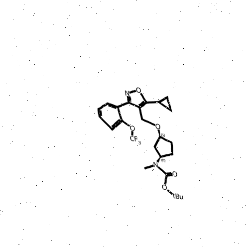 CN(C(=O)OC(C)(C)C)[C@@H]1CC[C@H](OCc2c(-c3ccccc3OC(F)(F)F)noc2C2CC2)C1